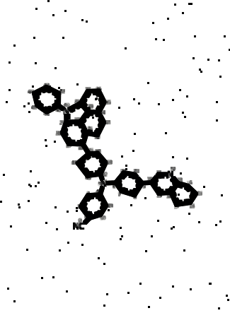 N#Cc1ccc(N(c2ccc(-c3cnc4ccccc4c3)cc2)c2ccc(-c3ccc4c5c3ccc3cccc(c35)n4-c3ccccc3)cc2)cc1